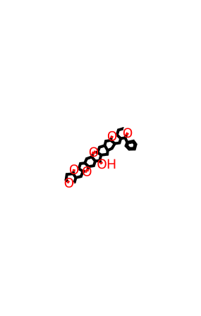 OC1C2CC3CC4CC5C(CCOC5c5ccccc5)OC4CC3CC2OC2CC3CC4OC5CCOCC5CC4OC3CC21